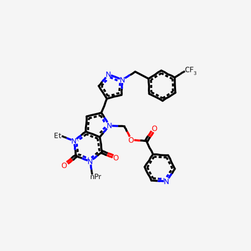 CCCn1c(=O)c2c(cc(-c3cnn(Cc4cccc(C(F)(F)F)c4)c3)n2COC(=O)c2ccncc2)n(CC)c1=O